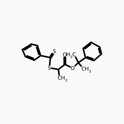 CC(SC(=S)c1ccccc1)C(=O)OC(C)(C)c1ccccc1